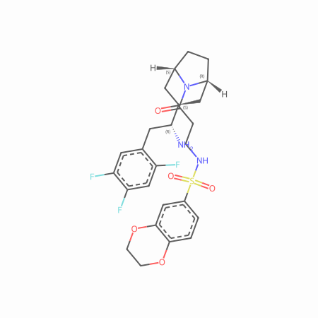 N[C@H](Cc1cc(F)c(F)cc1F)[C@@H]1C[C@H]2CC[C@@H](C1)N2C(=O)CCNS(=O)(=O)c1ccc2c(c1)OCCO2